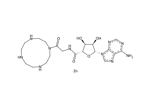 Nc1ncnc2c1ncn2[C@@H]1O[C@H](C(=O)NCC(=O)N2CCNCCNCCNCC2)[C@@H](O)[C@H]1O.[Zn]